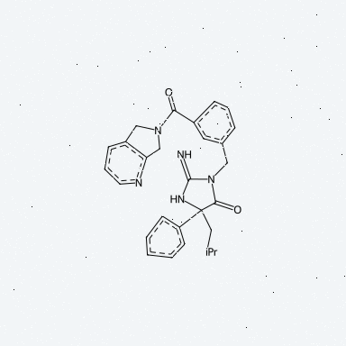 CC(C)CC1(c2ccccc2)NC(=N)N(Cc2cccc(C(=O)N3Cc4cccnc4C3)c2)C1=O